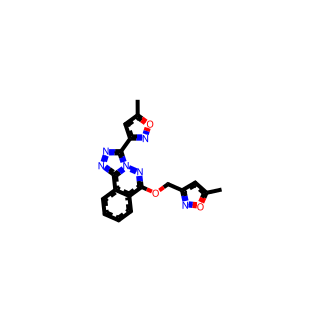 Cc1cc(COc2nn3c(-c4cc(C)on4)nnc3c3ccccc23)no1